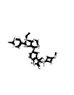 CCn1c(-c2cnc(C)nc2)nc2c(-c3ccc4c(c3)C(C)(NC3CC(OC)C3)C(=O)N4)ncnc21